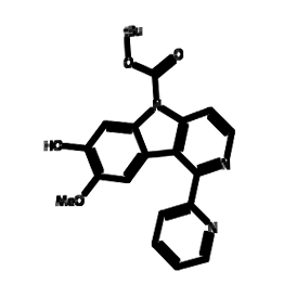 COc1cc2c3c(-c4ccccn4)nccc3n(C(=O)OC(C)(C)C)c2cc1O